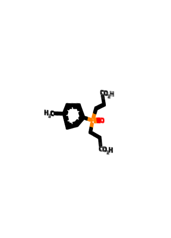 Cc1ccc(P(=O)(CCC(=O)O)CCC(=O)O)cc1